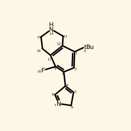 CC(C)(C)c1cc(C2=CCN=C2)c(F)c2c1CNCC2